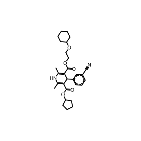 CC1=C(C(=O)OCCOC2CCCCC2)C(c2cccc(C#N)c2)C(C(=O)OC2CCCC2)=C(C)N1